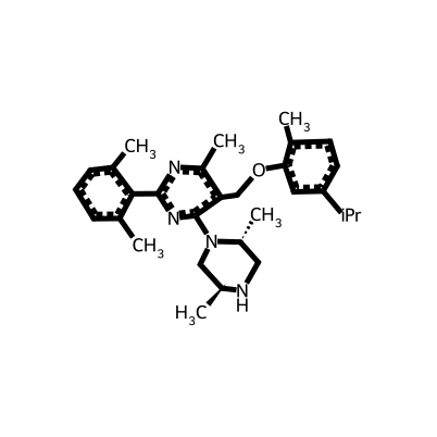 Cc1ccc(C(C)C)cc1OCc1c(C)nc(-c2c(C)cccc2C)nc1N1C[C@H](C)NC[C@H]1C